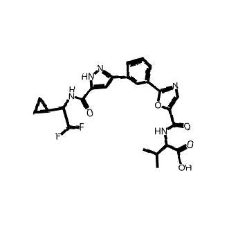 CC(C)C(NC(=O)c1cnc(-c2cccc(-c3cc(C(=O)NC(C(F)F)C4CC4)[nH]n3)c2)o1)C(=O)O